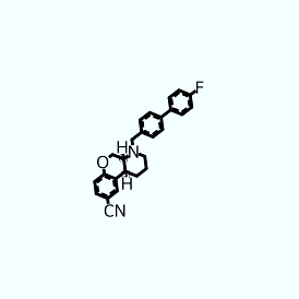 N#Cc1ccc2c(c1)[C@@H]1CCCN(Cc3ccc(-c4ccc(F)cc4)cc3)[C@H]1CO2